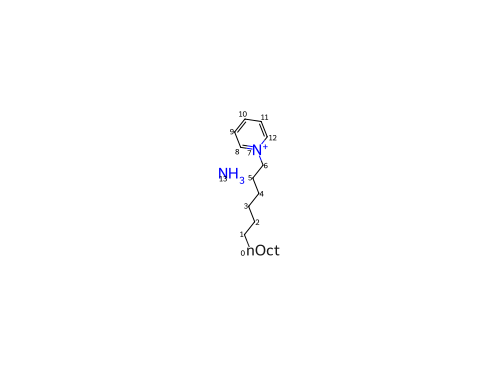 CCCCCCCCCCCCCC[n+]1ccccc1.N